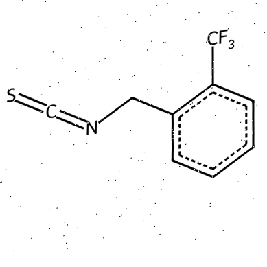 FC(F)(F)c1ccccc1CN=C=S